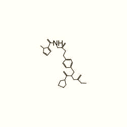 C=C(CCc1ccc(CC(CC(=C)CC)C(=C)C2CCCC2)cc1)CNC(=C)C1=CC=CC1C